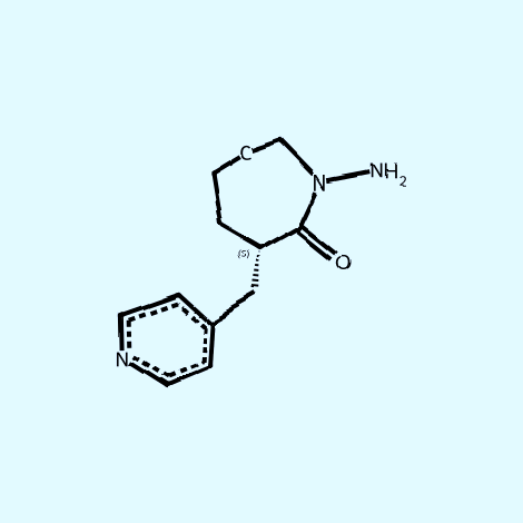 NN1CCCC[C@@H](Cc2ccncc2)C1=O